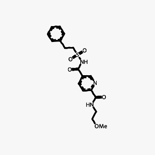 COCCNC(=O)c1ccc(C(=O)NS(=O)(=O)CCc2ccccc2)cn1